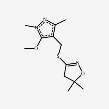 COc1c(CSC2=NOC(C)(C)C2)c(C)nn1C